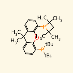 CC1(C)c2cccc(P(C(C)(C)C)C(C)(C)C)c2Oc2c(P3C(C)(C)CC3(C)C)cccc21